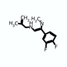 C=N/C(=C\NCC(=C)C)c1ccc(F)c(F)c1